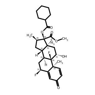 COC(=O)[C@@]1(OC(=O)C2CCCCC2)[C@H](C)C[C@H]2[C@@H]3C[C@H](F)C4=CC(=O)C=C[C@]4(C)[C@@]3(F)[C@@H](O)C[C@@]21C